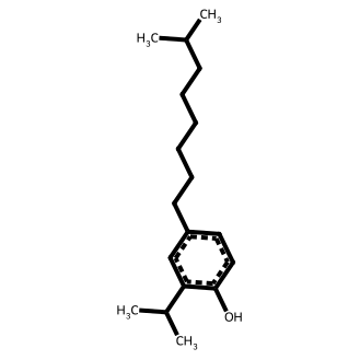 CC(C)CCCCCCc1ccc(O)c(C(C)C)c1